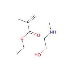 C=C(C)C(=O)OCC.CNCCO